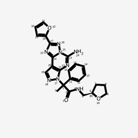 CC(C(=O)NC[C@H]1CCCO1)(c1ccccc1)n1ncc2c1nc(N)n1nc(-c3ccco3)nc21